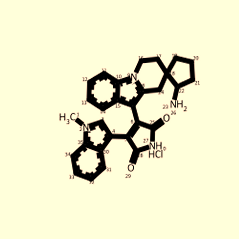 Cl.Cn1cc(C2=C(c3c4n(c5ccccc35)CCC3(CCCC3N)C4)C(=O)NC2=O)c2ccccc21